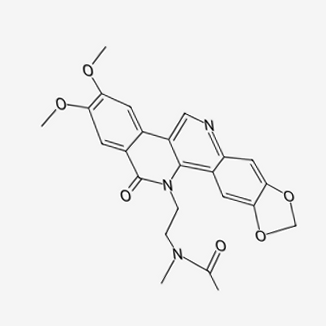 COc1cc2c(=O)n(CCN(C)C(C)=O)c3c4cc5c(cc4ncc3c2cc1OC)OCO5